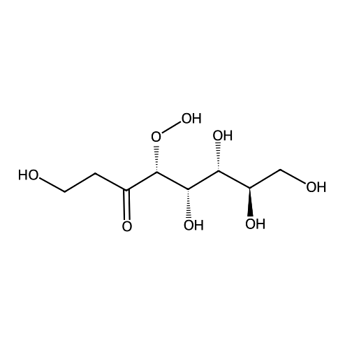 O=C(CCO)[C@H](OO)[C@@H](O)[C@H](O)[C@H](O)CO